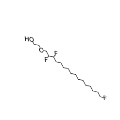 OCCOCC(F)C(F)CCCCCCCCCCCCCF